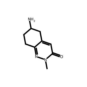 Cn1nc2c(cc1=O)CC(N)CC2